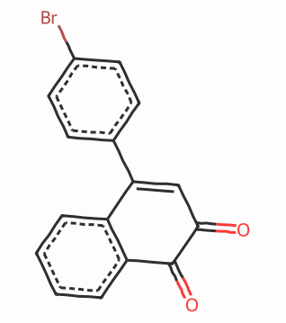 O=C1C=C(c2ccc(Br)cc2)c2ccccc2C1=O